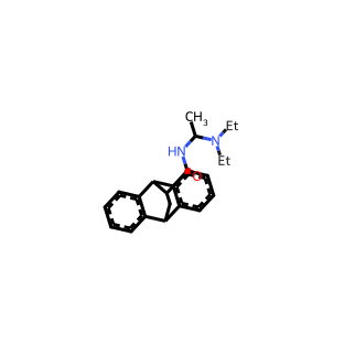 CCN(CC)C(C)NC(=O)C1CC2c3ccccc3C1c1ccccc12